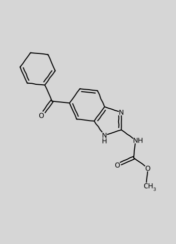 COC(=O)Nc1nc2ccc(C(=O)C3=CCCC=C3)cc2[nH]1